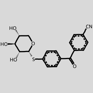 N#Cc1ccc(C(=O)c2ccc(S[C@H]3OC[C@@H](O)[C@H](O)[C@H]3O)cc2)cc1